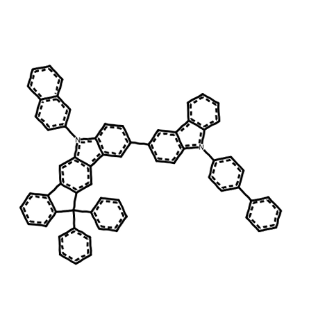 c1ccc(-c2ccc(-n3c4ccccc4c4cc(-c5ccc6c(c5)c5cc7c(cc5n6-c5ccc6ccccc6c5)-c5ccccc5C7(c5ccccc5)c5ccccc5)ccc43)cc2)cc1